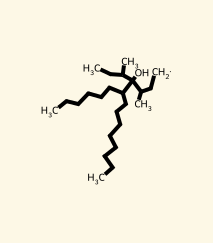 [CH2]CC(C)C(O)(C(C)CC)C(CCCCCC)CCCCCCCC